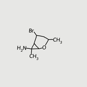 CC1CC(Br)C2C(O1)C2(C)N